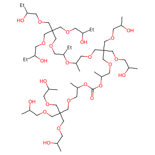 CCC(O)COCC(COCC(O)CC)(COCC(O)CC)COCC(CC)OC(C)COCC(COCC(C)O)(COCC(C)O)COCC(C)OC(=O)OC(C)COCC(COCC(C)O)(COCC(C)O)COCC(C)O